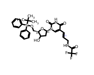 CC(C)(C)[Si](OC[C@H]1O[C@@H](n2cc(/C=C/CNC(=O)C(F)(F)F)c(=O)[nH]c2=O)CC1O)(c1ccccc1)c1ccccc1